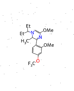 CCC(CC)N1C=C(OC)N=C(c2ccc(OC(F)(F)F)cc2OC)C1C